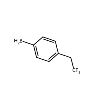 Bc1ccc(CC(F)(F)F)cc1